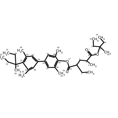 CCC(CC(C)C(=O)OC(C)(CC)CC)C(=O)Oc1c(C)cc(-c2cc(C)c(C(C)(CC)CC)c(C)c2)cc1C